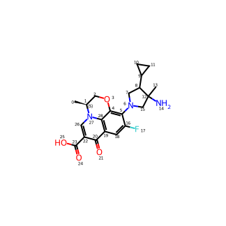 C[C@H]1COc2c(N3CC(C4CC4)C(C)(N)C3)c(F)cc3c(=O)c(C(=O)O)cn1c23